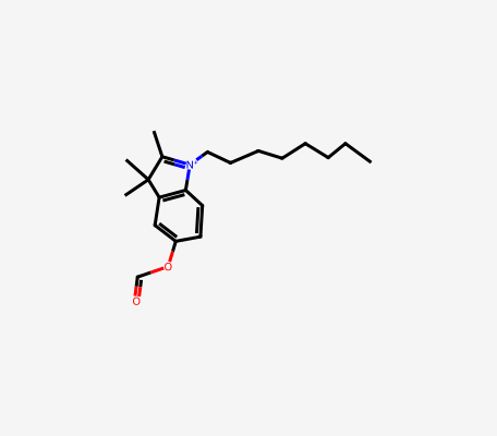 CCCCCCCC[N+]1=C(C)C(C)(C)c2cc(OC=O)ccc21